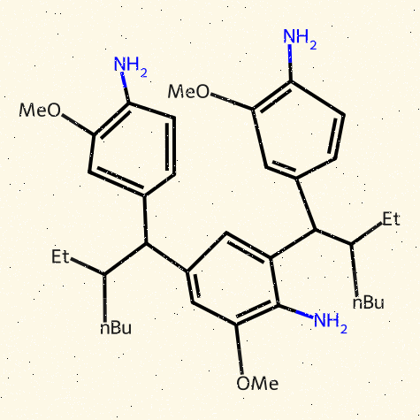 CCCCC(CC)C(c1ccc(N)c(OC)c1)c1cc(OC)c(N)c(C(c2ccc(N)c(OC)c2)C(CC)CCCC)c1